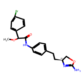 COC(C(=O)Nc1ccc(CC[C@H]2COC(N)=N2)cc1)c1ccc(Br)cc1